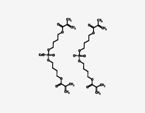 C=C(C)C(=O)OCCCCOP(=O)([O-])OCCCCOC(=O)C(=C)C.C=C(C)C(=O)OCCCCOP(=O)([O-])OCCCCOC(=O)C(=C)C.[Ca+2]